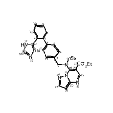 CCCCN(Cc1ccc(-c2ccccc2-c2nnn[nH]2)cc1)c1c(C(=O)OCC)cnc2ccnn12